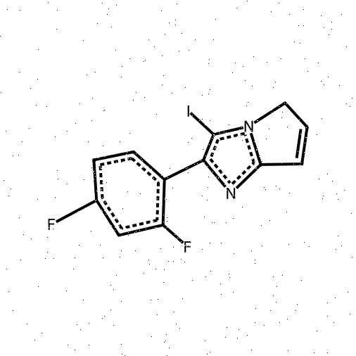 Fc1ccc(-c2nc3n(c2I)CC=C3)c(F)c1